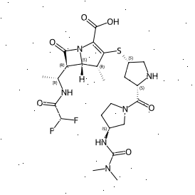 C[C@@H](NC(=O)C(F)F)[C@H]1C(=O)N2C(C(=O)O)=C(S[C@@H]3CN[C@H](C(=O)N4CC[C@H](NC(=O)N(C)C)C4)C3)[C@H](C)[C@H]12